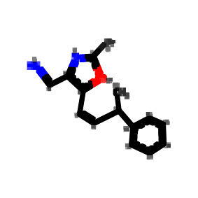 CC(C)c1nc(C=N)c(/C=C\C(C)c2ccccc2)o1